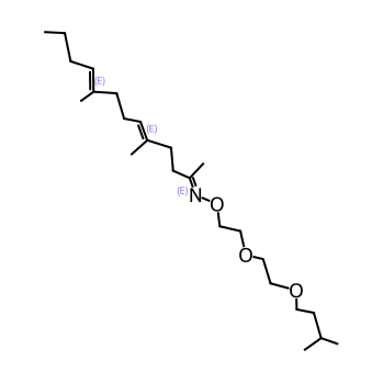 CCC/C=C(\C)CC/C=C(\C)CC/C(C)=N/OCCOCCOCCC(C)C